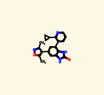 Cc1noc(C)c1-c1cc(-c2cccnc2C2CC2)c2[nH]c(=O)[nH]c2c1